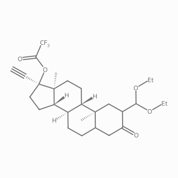 C#C[C@@]1(OC(=O)C(F)(F)F)CC[C@H]2[C@@H]3CCC4CC(=O)C(C(OCC)OCC)C[C@]4(C)[C@H]3CC[C@@]21C